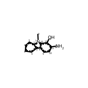 Cn1c2ccccc2c2ccc(N)c(O)c21